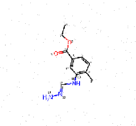 CCOC(=O)c1ccc(C)c(NC=NN)c1